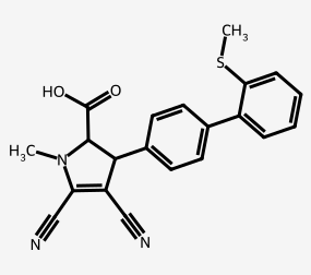 CSc1ccccc1-c1ccc(C2C(C#N)=C(C#N)N(C)C2C(=O)O)cc1